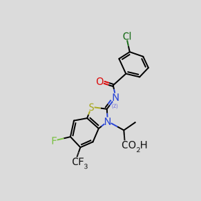 CC(C(=O)O)n1/c(=N/C(=O)c2cccc(Cl)c2)sc2cc(F)c(C(F)(F)F)cc21